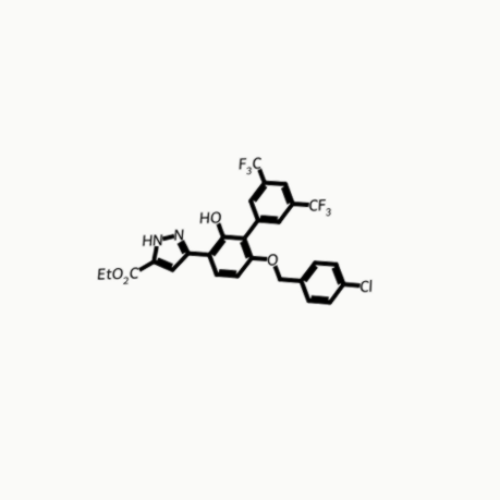 CCOC(=O)c1cc(-c2ccc(OCc3ccc(Cl)cc3)c(-c3cc(C(F)(F)F)cc(C(F)(F)F)c3)c2O)n[nH]1